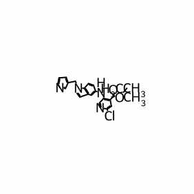 CC(C)(C)OC(=O)c1cc(Cl)ncc1Nc1ccc2c(ccn2Cc2cccnc2)c1